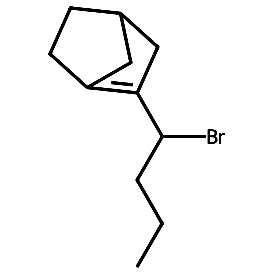 CCCC(Br)C1=C2CCC(C2)C1